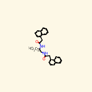 O=C(Cc1cccc2ccccc12)NC[C@H](NC(=O)Cc1cccc2ccccc12)C(=O)O